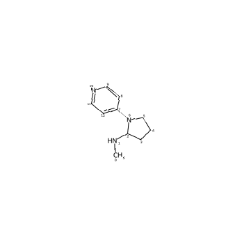 CNC1CCCN1c1ccncc1